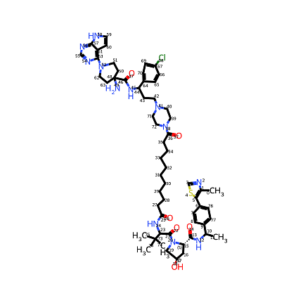 Cc1ncsc1-c1ccc(C(C)NC(=O)[C@@H]2C[C@@H](O)CN2C(=O)C(NC(=O)CCCCCCCCCC(=O)N2CCN(CCC(NC(=O)C3(N)CCN(c4ncnc5[nH]ccc45)CC3)c3ccc(Cl)cc3)CC2)C(C)(C)C)cc1